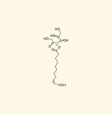 CCCCCCCC/C=C\CCCCCCCC(=O)O[C@H](C(=O)CO)[C@H](O)[C@@H](O)CO